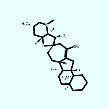 CC1=C2C[C@H]3[C@@H](CC[C@@H]4CCCC[C@@]43C)[C@@H]2CC[C@@]2(C1)O[C@@H]1C[C@H](C)CN(I)[C@H]1[C@H]2C